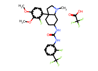 COc1ccc(C23CCC(NC(=O)Nc4cccc(C(F)(F)F)c4F)CC2N(C)CC3)c(F)c1OC.O=C(O)C(F)(F)F